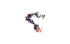 CC(C)=CCCC(C)=CCCC(C)=CCCC1(C)CCc2c3c(c(C)c(C)c2O1)OCN(CCc1ccc(O)cc1)C3